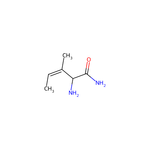 CC=C(C)C(N)C(N)=O